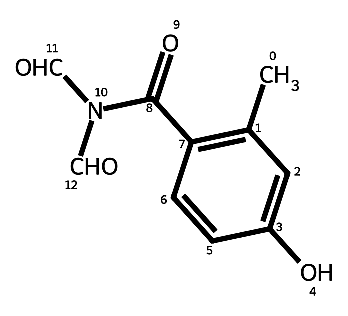 Cc1cc(O)ccc1C(=O)N(C=O)C=O